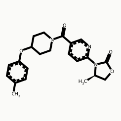 Cc1ccc(OC2CCN(C(=O)c3ccc(N4C(=O)OC[C@H]4C)nc3)CC2)cc1